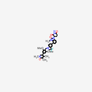 COc1cc(-c2cn(C)c(=O)c(C)c2C)cc(OC)c1CN1CC(F)(F)c2cc(-c3cccc4c3n(C)c(=O)n4C3CCC(=O)NC3=O)ccc21